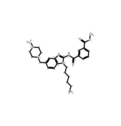 COC(=O)c1cccc(C(=O)Nc2nc3cc(CN4CCN(C)CC4)ccc3n2CCCCCN)c1